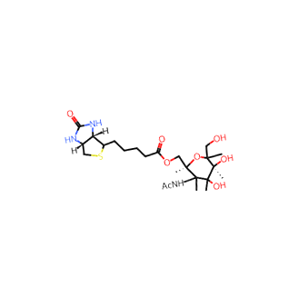 CC(=O)NC1(C)C(C)(O)[C@](C)(O)C(C)(CO)O[C@]1(C)COC(=O)CCCCC1SC[C@@H]2NC(=O)N[C@H]12